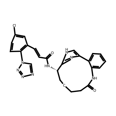 O=C(/C=C/c1cc(Cl)ccc1-n1cnnn1)N[C@H]1CCCCC(=O)Nc2ccccc2-c2c[nH]c1n2